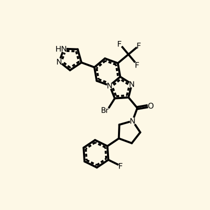 O=C(c1nc2c(C(F)(F)F)cc(-c3cn[nH]c3)cn2c1Br)N1CCC(c2ccccc2F)C1